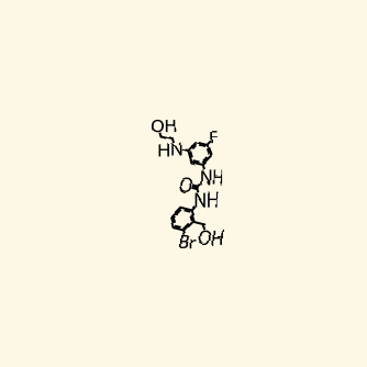 O=C(Nc1cc(F)cc(NCCO)c1)Nc1cccc(Br)c1CO